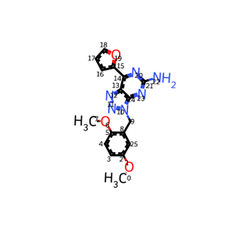 COc1ccc(OC)c(Cn2nnc3c(-c4ccco4)nc(N)nc32)c1